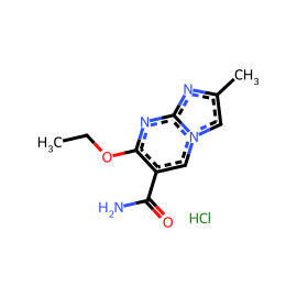 CCOc1nc2nc(C)cn2cc1C(N)=O.Cl